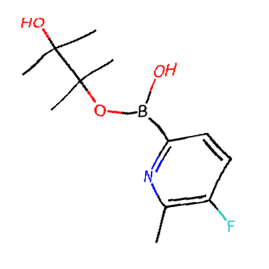 Cc1nc(B(O)OC(C)(C)C(C)(C)O)ccc1F